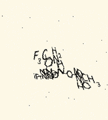 CC(C)Nc1ncc(-c2cc(N)cc(C(F)(F)F)c2)n(CC(=O)NCc2ccc(C3=NOC(C)(c4ccccc4)N3)cc2)c1=O